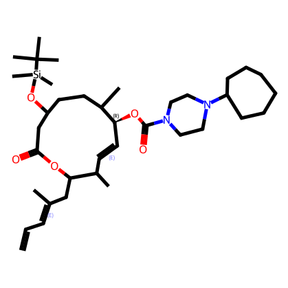 C=C/C=C(\C)CC1OC(=O)CC(O[Si](C)(C)C(C)(C)C)CCC(C)[C@@H](OC(=O)N2CCN(C3CCCCCC3)CC2)/C=C/C1C